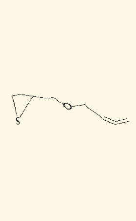 C=CCOCC1CS1